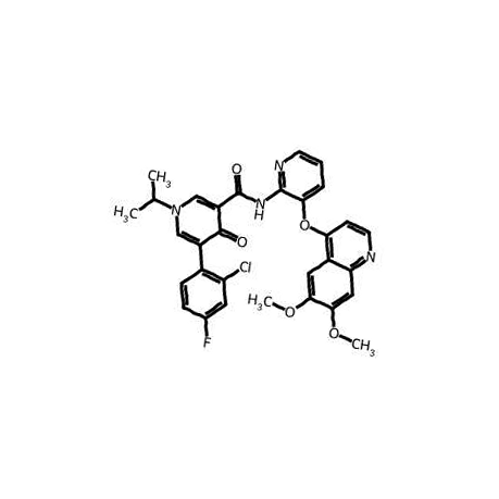 COc1cc2nccc(Oc3cccnc3NC(=O)c3cn(C(C)C)cc(-c4ccc(F)cc4Cl)c3=O)c2cc1OC